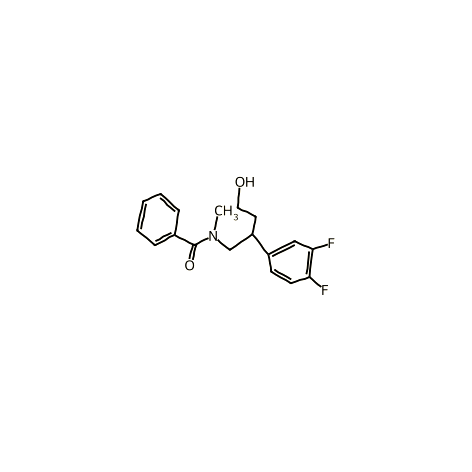 CN(CC(CCO)c1ccc(F)c(F)c1)C(=O)c1ccccc1